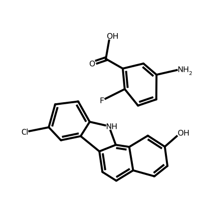 Nc1ccc(F)c(C(=O)O)c1.Oc1ccc2ccc3c4cc(Cl)ccc4[nH]c3c2c1